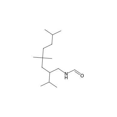 CC(C)CCC(C)(C)CC(CNC=O)C(C)C